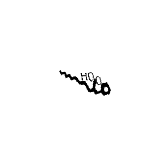 CCCCCCCCCCC(Cc1ccccc1)C(=O)O